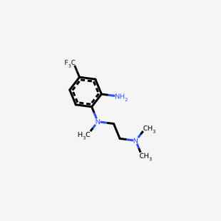 CN(C)CCN(C)c1ccc(C(F)(F)F)cc1N